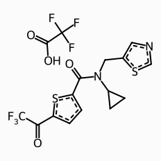 O=C(O)C(F)(F)F.O=C(c1ccc(C(=O)C(F)(F)F)s1)N(Cc1cncs1)C1CC1